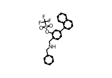 O=S(=O)(Oc1cc(-c2cccc3ccccc23)ccc1CNCc1ccccc1)C(F)(F)F